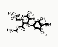 CCOC(=O)C(NCS(C)(=O)=O)C(Oc1cc(C)c(C#N)c(C)c1)C(=N)C(C)C